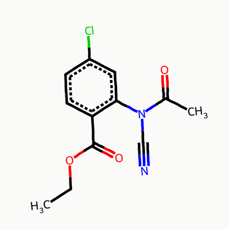 CCOC(=O)c1ccc(Cl)cc1N(C#N)C(C)=O